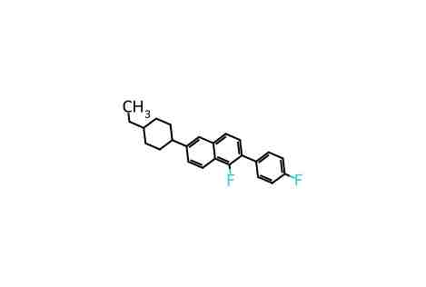 CCC1CCC(c2ccc3c(F)c(-c4ccc(F)cc4)ccc3c2)CC1